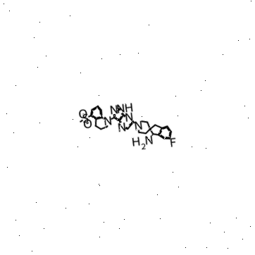 CS(=O)(=O)c1cccc2c1CCCN2c1n[nH]c2nc(N3CCC4(CC3)Cc3ccc(F)cc3[C@H]4N)cnc12